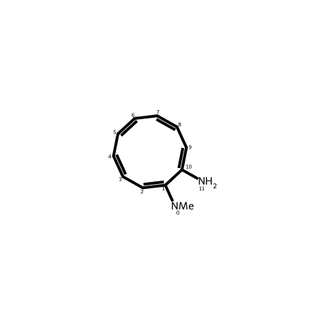 CNc1ccccccccc1N